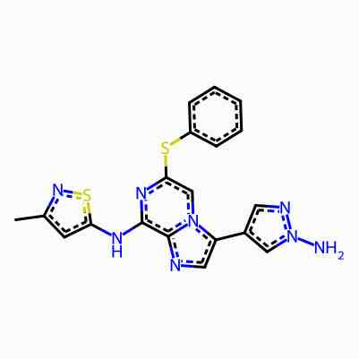 Cc1cc(Nc2nc(Sc3ccccc3)cn3c(-c4cnn(N)c4)cnc23)sn1